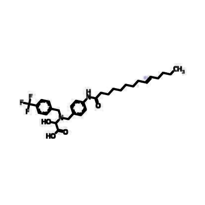 CCCC/C=C/CCCCCCCC(=O)Nc1ccc(CN(Cc2ccc(C(F)(F)F)cc2)C(O)C(=O)O)cc1